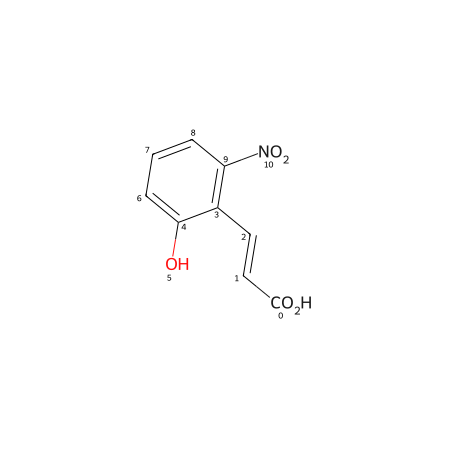 O=C(O)C=Cc1c(O)cccc1[N+](=O)[O-]